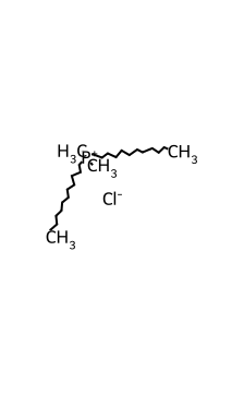 CCCCCCCCCCCC[P+](C)(C)CCCCCCCCCCCC.[Cl-]